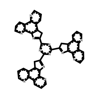 c1cnc2c(c1)c1c(c3ncccc32)N=C(c2nc(C3=Nc4c(c5cccnc5c5cccnc45)C3)nc(C3=Nc4c(c5cccnc5c5cccnc45)C3)n2)C1